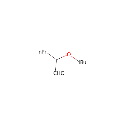 [CH2]CCC(C=O)OC(C)CC